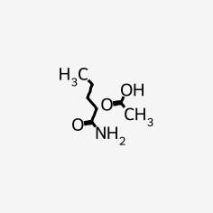 CC(=O)O.CCCCC(N)=O